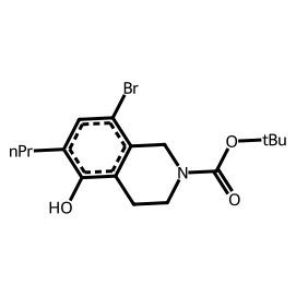 CCCc1cc(Br)c2c(c1O)CCN(C(=O)OC(C)(C)C)C2